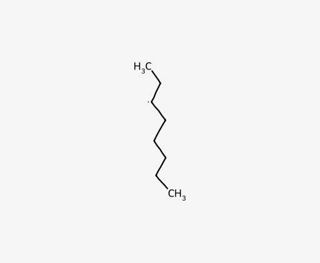 CC[CH]CCCCC